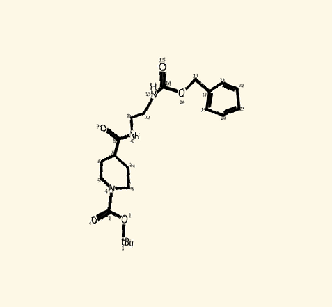 CC(C)(C)OC(=O)N1CCC(C(=O)NCCNC(=O)OCc2ccccc2)CC1